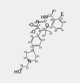 C[C@H](NC1=NS(=O)(=O)C(c2ccc(C3CCN(CCO)CC3)cc2)C(C)(C)O1)c1ccccc1F